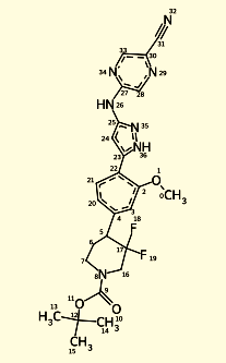 COc1cc(C2CCN(C(=O)OC(C)(C)C)CC2(F)F)ccc1-c1cc(Nc2cnc(C#N)cn2)n[nH]1